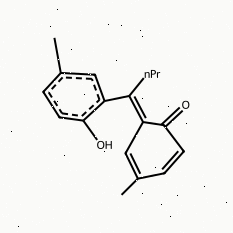 CCCC(=C1C=C(C)C=CC1=O)c1cc(C)ccc1O